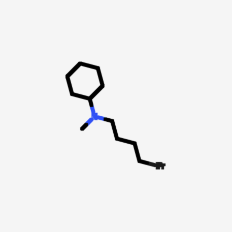 CC(C)CCCCN(C)C1CCCCC1